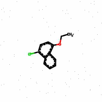 [CH2]COc1ccc(Cl)c2ccccc12